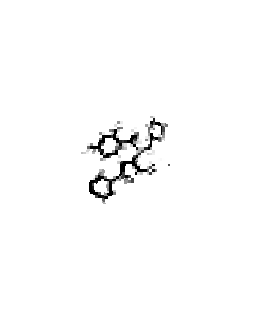 O=C(O)Oc1sc(-c2ccccc2)cc1N(CC1OCCO1)C(=O)c1ccc(Cl)cc1Cl